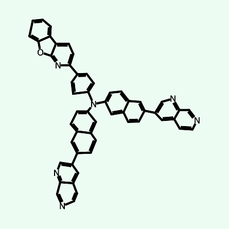 c1ccc2c(c1)oc1nc(-c3ccc(N(c4ccc5cc(-c6cnc7cnccc7c6)ccc5c4)c4ccc5cc(-c6cnc7cnccc7c6)ccc5c4)cc3)ccc12